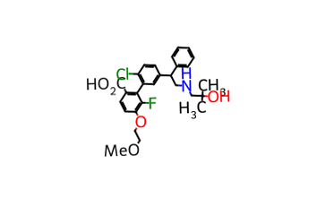 COCCOc1ccc(C(=O)O)c(-c2cc(C(CNCC(C)(C)O)c3ccccc3)ccc2Cl)c1F